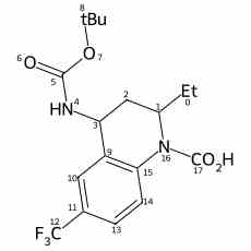 CCC1CC(NC(=O)OC(C)(C)C)c2cc(C(F)(F)F)ccc2N1C(=O)O